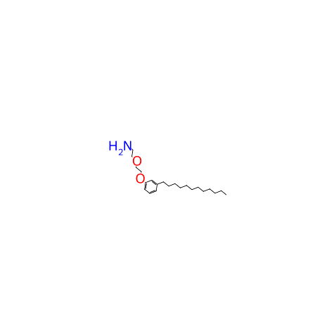 CCCCCCCCCCCCc1cccc(OCCOCCN)c1